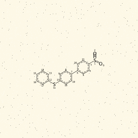 O=[SH](=O)c1ccc(-c2ccc(Sc3ccccc3)cc2)cc1